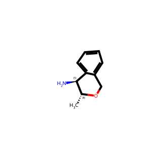 C[C@H]1OCc2ccccc2[C@@H]1N